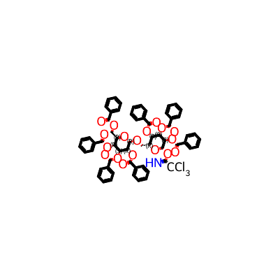 N=C(OC1O[C@H](CO[C@@H]2O[C@H](COC(=O)c3ccccc3)[C@@H](OC(=O)c3ccccc3)[C@H](OC(=O)c3ccccc3)[C@H]2OC(=O)c2ccccc2)[C@@H](OC(=O)c2ccccc2)[C@H](OC(=O)c2ccccc2)[C@H]1OC(=O)c1ccccc1)C(Cl)(Cl)Cl